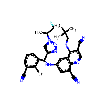 Cc1c(C#N)cccc1[C@H](Nc1cc(C#N)c2ncc(C#N)c(NCC(C)(C)C)c2c1)c1cn(C(C)CF)nn1